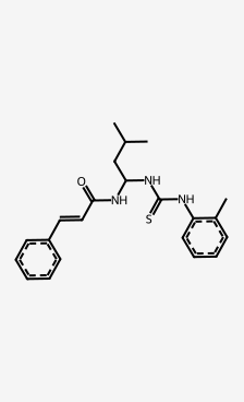 Cc1ccccc1NC(=S)NC(CC(C)C)NC(=O)/C=C/c1ccccc1